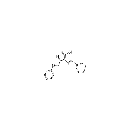 Sc1nnc(COc2ccccc2)n1/N=C/c1ccccc1